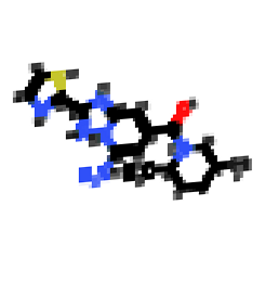 CCC1CCC(C)N(C(=O)c2cc(N)n3nc(-c4nccs4)nc3c2)C1